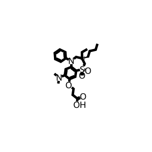 CCCC[C@]1(CC)CN(c2ccccc2)c2cc(N(C)C)c(OCCC(=O)O)cc2S(=O)(=O)C1